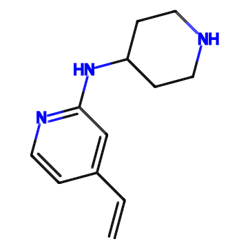 C=Cc1ccnc(NC2CCNCC2)c1